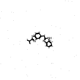 CC(C)c1nc2cc(Cc3nc4ccccc4[nH]3)ccc2s1